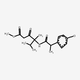 COC(=O)CC(=O)C(C)(NC(=O)C(C)c1ccc(Cl)cc1)C(C)C